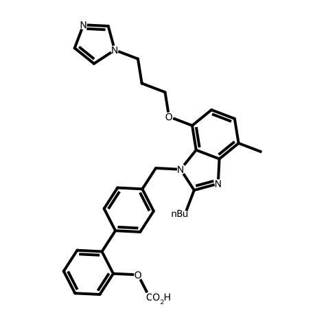 CCCCc1nc2c(C)ccc(OCCCn3ccnc3)c2n1Cc1ccc(-c2ccccc2OC(=O)O)cc1